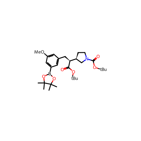 COc1cc(C[C@H](C(=O)OC(C)(C)C)[C@H]2CCN(C(=O)OC(C)(C)C)C2)cc(B2OC(C)(C)C(C)(C)O2)c1